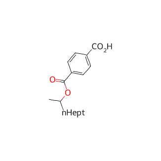 CCCCCCCC(C)OC(=O)c1ccc(C(=O)O)cc1